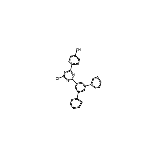 N#Cc1ccc(-c2nc(Cl)nc(-c3cc(-c4ccccc4)cc(-c4ccccc4)c3)n2)cc1